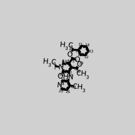 CCn1nc(C(=O)OC(C)c2ccccc2)c(C(C)=O)c(Nc2cnccc2C)c1=O